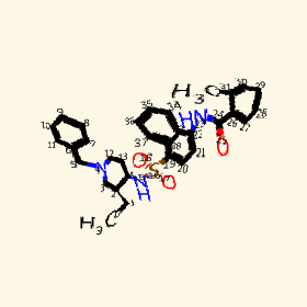 CC[C@H]1CN(Cc2ccccc2)CC[C@H]1NS(=O)(=O)c1ccc(NC(=O)c2ccccc2C)c2ccccc12